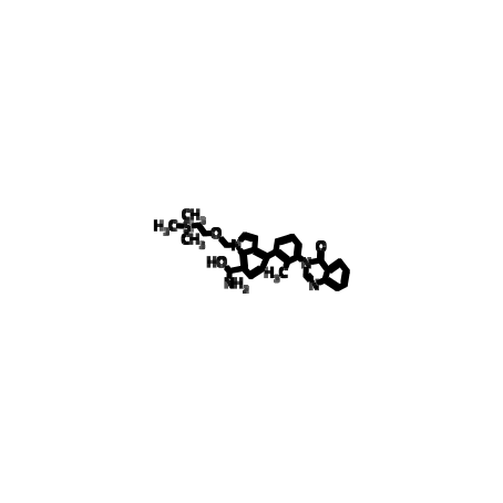 Cc1c(-c2ccc(C(N)O)c3c2ccn3COCC[Si](C)(C)C)cccc1-n1cnc2ccccc2c1=O